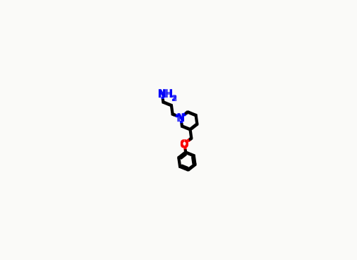 NCCCN1CCCC(COc2ccccc2)C1